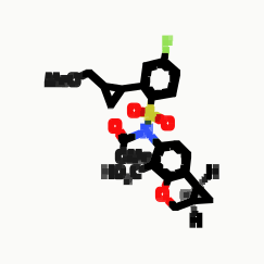 COCC1CC1c1cc(F)ccc1S(=O)(=O)N(C(=O)OC)c1ccc2c(c1C(=O)O)OC[C@@H]1C[C@H]21